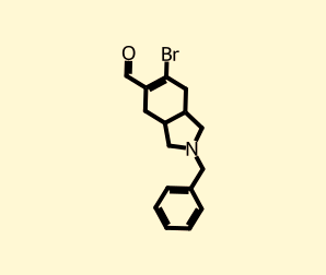 O=CC1=C(Br)CC2CN(Cc3ccccc3)CC2C1